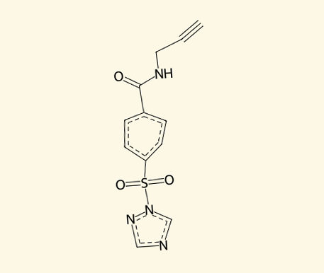 C#CCNC(=O)c1ccc(S(=O)(=O)n2cncn2)cc1